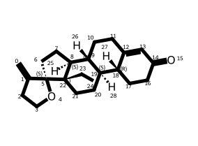 C=C1CCO[C@@]12CC[C@H]1[C@@H]3CCC4=CC(=O)CC[C@@H]4[C@H]3CC[C@@]12CC